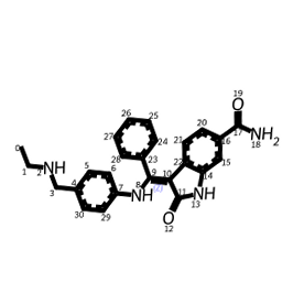 CCNCc1ccc(N/C(=C2\C(=O)Nc3cc(C(N)=O)ccc32)c2ccccc2)cc1